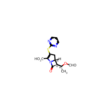 C[C@@H](OC=O)[C@H]1C(=O)N2C(C(=O)O)=C(Sc3ncccn3)C[C@H]12